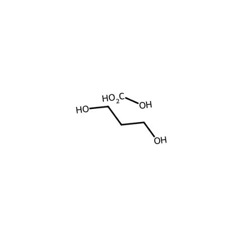 O=C(O)O.OCCCO